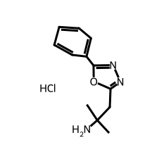 CC(C)(N)Cc1nnc(-c2ccccc2)o1.Cl